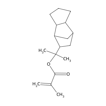 C=C(C)C(=O)OC(C)(C)C1CC2CC1C1CCCC21